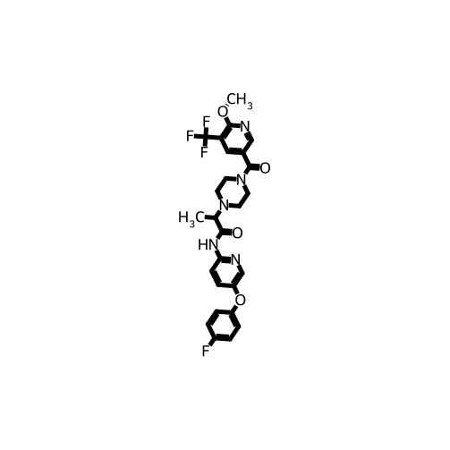 COc1ncc(C(=O)N2CCN(C(C)C(=O)Nc3ccc(Oc4ccc(F)cc4)cn3)CC2)cc1C(F)(F)F